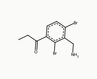 CCC(=O)c1ccc(Br)c(CN)c1Br